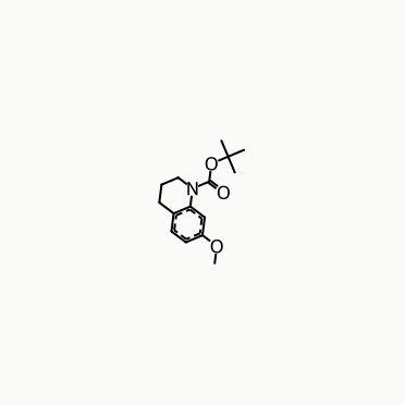 COc1ccc2c(c1)N(C(=O)OC(C)(C)C)CCC2